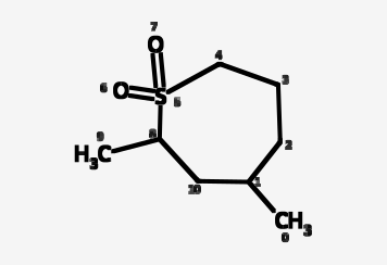 CC1CCCS(=O)(=O)C(C)C1